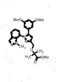 COC(=O)C(C)(C)OCc1cc(-c2cc(OC)cc(OC)c2)n(-c2cccc3cnn(C)c23)n1